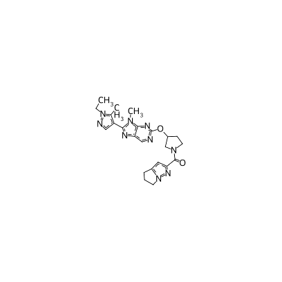 CCn1ncc(-c2nc3cnc(OC4CCN(C(=O)c5cc6n(n5)CCC6)C4)nc3n2C)c1C